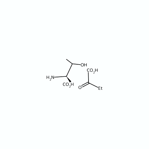 CC(O)[C@H](N)C(=O)O.CCC(=O)C(=O)O